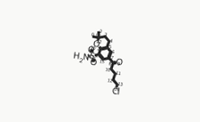 CC1(C)CCc2cc(C(=O)CCCCCl)cc(S(N)(=O)=O)c2O1